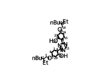 CCCCC(CC)COc1ccc(-c2ncnc(-c3ccc(OCC(CC)CCCC)cc3O)n2)c(O)c1